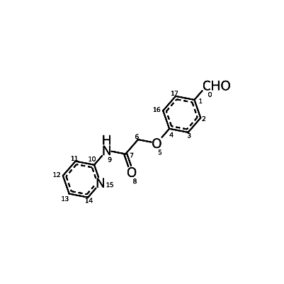 O=Cc1ccc(OCC(=O)Nc2ccccn2)cc1